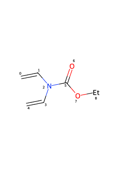 C=CN(C=C)C(=O)OCC